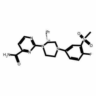 CC(C)[C@@H]1CN(c2ccc(F)c(S(C)(=O)=O)c2)CCN1c1nccc(C(N)=O)n1